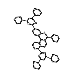 c1ccc(-c2cc(-c3ccccc3)nc(-c3ccc4c(c3)nc(-c3ccccc3)c3ccc5c(-c6nc(-c7ccccc7)cc(-c7ccccc7)n6)cccc5c34)n2)cc1